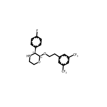 Fc1ccc([C@@H]2NCCO[C@@H]2OCCc2cc(C(F)(F)F)cc(C(F)(F)F)c2)cc1